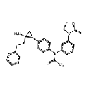 NC1(CCc2ccccc2)CC1c1ccc(N(C(=O)C(F)(F)F)c2cccc(N3CCOC3=O)c2)cc1